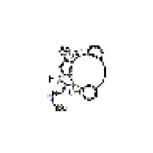 CCC(C)/C=N\C=C(/C)C1(O)c2cccc(c2)CCCc2cccc(c2)/C(=C/C(C)=O)c2cc1ccc2C